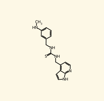 CNc1cccc(CNC(=S)NCc2ccnc3[nH]ccc23)c1